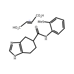 CSc1ccccc1NC(=O)C1CCc2[nH]cnc2C1.O=C(O)/C=C/C(=O)O